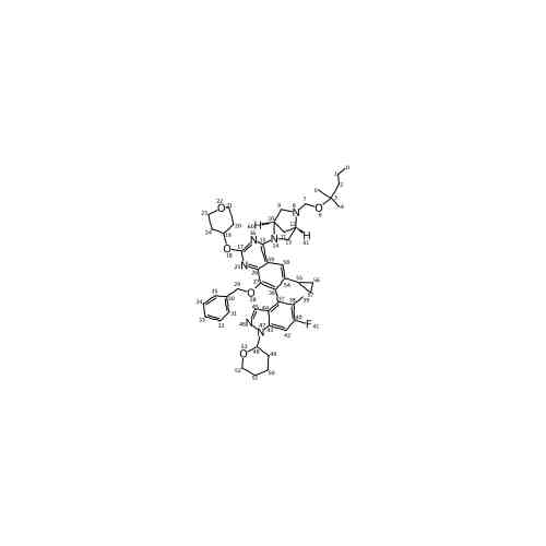 CCCC(C)(C)OCN1C[C@@H]2C[C@H]1CN2c1nc(OC2CCOCC2)nc2c(OCc3ccccc3)c(-c3c(C)c(F)cc4c3cnn4C3CCCCO3)c(C3CC3)cc12